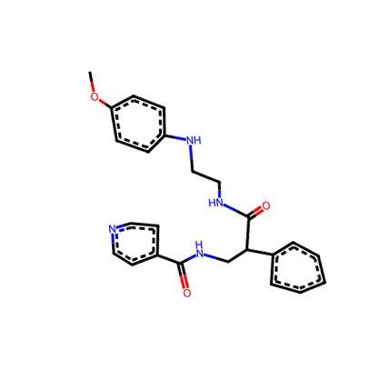 COc1ccc(NCCNC(=O)C(CNC(=O)c2ccncc2)c2ccccc2)cc1